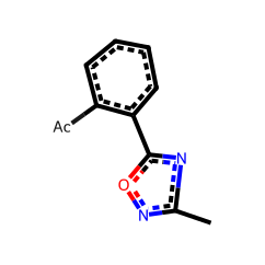 CC(=O)c1ccccc1-c1nc(C)no1